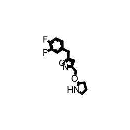 Fc1ccc(Cc2cc(COC3CCCN3)no2)cc1F